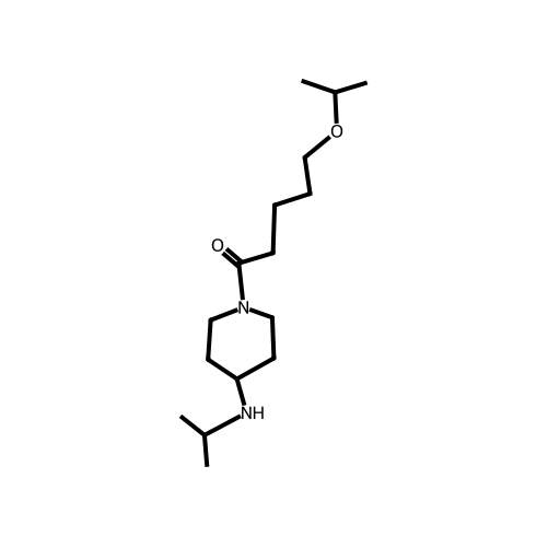 CC(C)NC1CCN(C(=O)CCCCOC(C)C)CC1